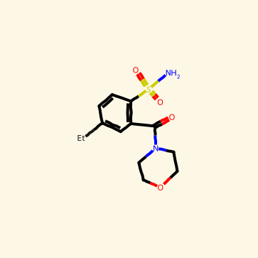 CCc1ccc(S(N)(=O)=O)c(C(=O)N2CCOCC2)c1